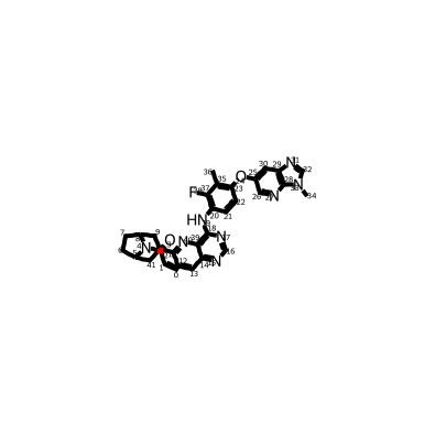 C=CC(=O)N1C2CCC1CC(c1ccc3ncnc(Nc4ccc(Oc5cnc6c(c5)ncn6C)c(C)c4F)c3n1)C2